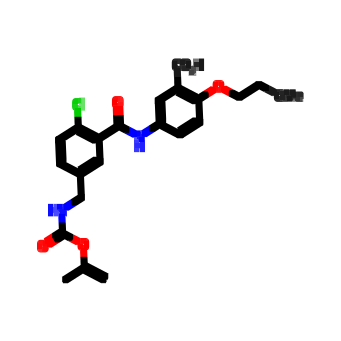 C=C(C)OC(=O)NCc1ccc(Cl)c(C(=O)Nc2ccc(OCCOC)c(C(=O)O)c2)c1